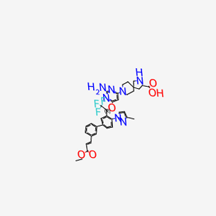 CCOC(=O)C=Cc1cccc(-c2ccc(-n3ccc(C)n3)c([C@@H](Oc3cc(N4CCC5(CC4)CNC(C(=O)O)C5)nc(N)n3)C(F)(F)F)c2)c1